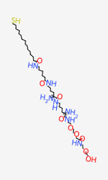 N[C@@H](CCCCNC(=O)CCCCCNC(=O)CCCCCCCCCCCCCCCS)C(=O)NCCCC[C@H](N)C(=O)NCCOCCOCC(=O)NCCOCCO